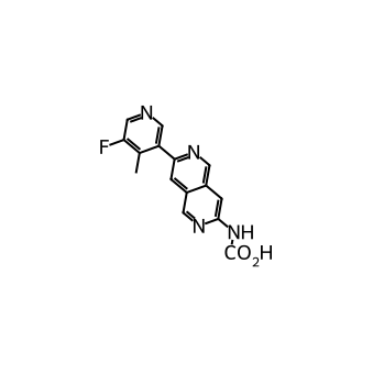 Cc1c(F)cncc1-c1cc2cnc(NC(=O)O)cc2cn1